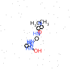 CN(C)c1cccc2c(ONC[C@H]3CC[C@H](CNc4nc(NCCO)c5ccccc5n4)CC3)cccc12